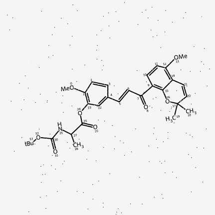 COc1ccc(/C=C/C(=O)c2ccc(OC)c3c2OC(C)(C)C=C3)cc1OC(=O)C(C)NC(=O)OC(C)(C)C